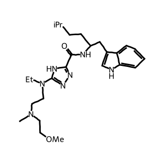 CCN(CCN(C)CCOC)c1nnc(C(=O)NC(CCC(C)C)Cc2c[nH]c3ccccc23)[nH]1